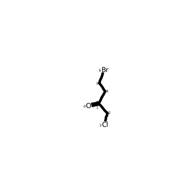 O=C(CCl)CCBr